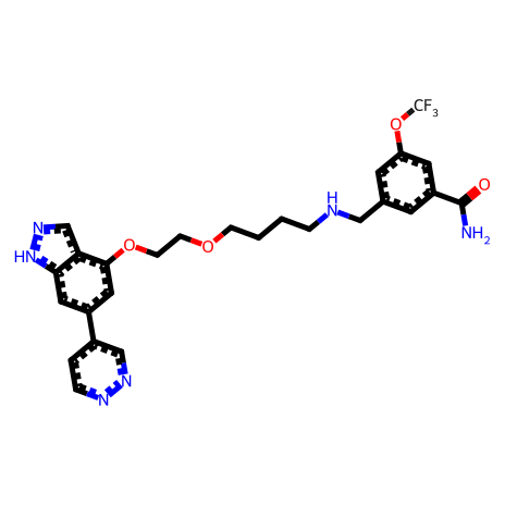 NC(=O)c1cc(CNCCCCOCCOc2cc(-c3ccnnc3)cc3[nH]ncc23)cc(OC(F)(F)F)c1